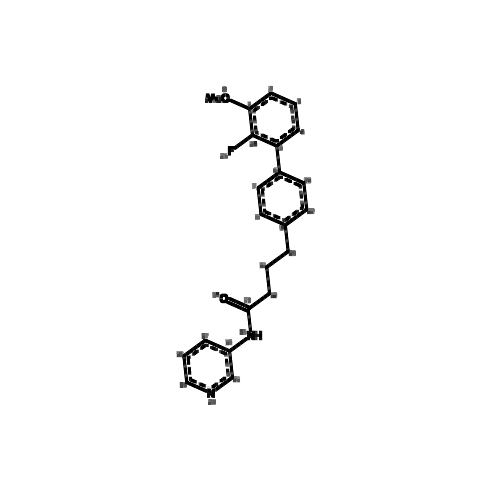 COc1cccc(-c2ccc(CCCC(=O)Nc3cccnc3)cc2)c1F